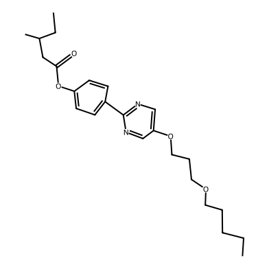 CCCCCOCCCOc1cnc(-c2ccc(OC(=O)CC(C)CC)cc2)nc1